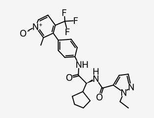 CCn1nccc1C(=O)N[C@H](C(=O)Nc1ccc(-c2c(C(F)(F)F)cc[n+]([O-])c2C)cc1)C1CCCC1